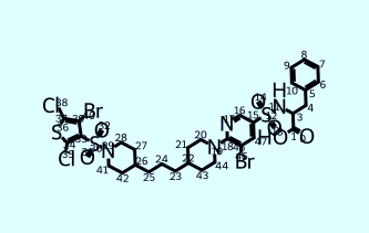 O=C(O)C(Cc1ccccc1)NS(=O)(=O)c1cnc(N2CCC(CCCC3CCN(S(=O)(=O)c4c(Cl)sc(Cl)c4Br)CC3)CC2)c(Br)c1